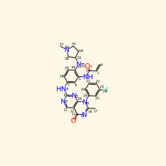 C=CC(=O)Nc1cc(Nc2ncc3c(=O)nc(C)n(-c4cccc(F)c4)c3n2)ccc1N(C)C1CCN(C)C1